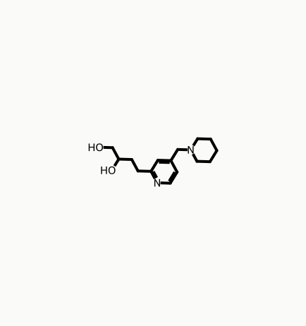 OCC(O)CCc1cc(CN2CCCCC2)ccn1